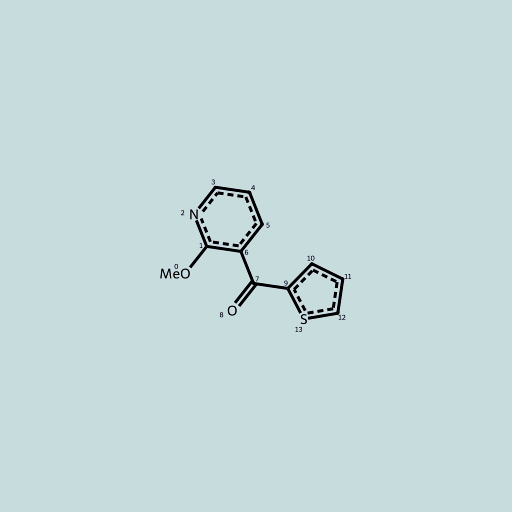 COc1ncccc1C(=O)c1cccs1